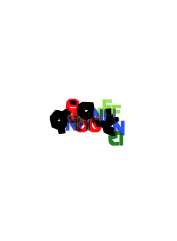 COc1ccc(NC(=O)c2cc(Cl)ncc2C(F)(F)F)cc1S(=O)(=O)Nc1c(C)cccc1C